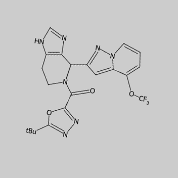 CC(C)(C)c1nnc(C(=O)N2CCc3[nH]cnc3C2c2cc3c(OC(F)(F)F)cccn3n2)o1